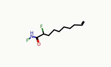 C=CCCCCCCC(F)C(=O)NF